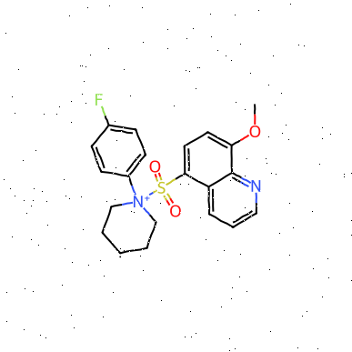 COc1ccc(S(=O)(=O)[N+]2(c3ccc(F)cc3)CC[CH]CC2)c2cccnc12